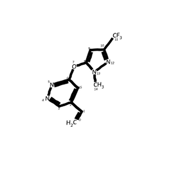 C=Cc1cnnc(Oc2cc(C(F)(F)F)nn2C)c1